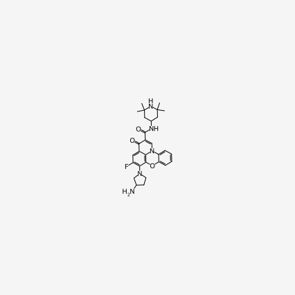 CC1(C)CC(NC(=O)c2cn3c4c(c(N5CCC(N)C5)c(F)cc4c2=O)Oc2ccccc2-3)CC(C)(C)N1